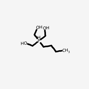 CCCC[PH](CO)(CO)CO